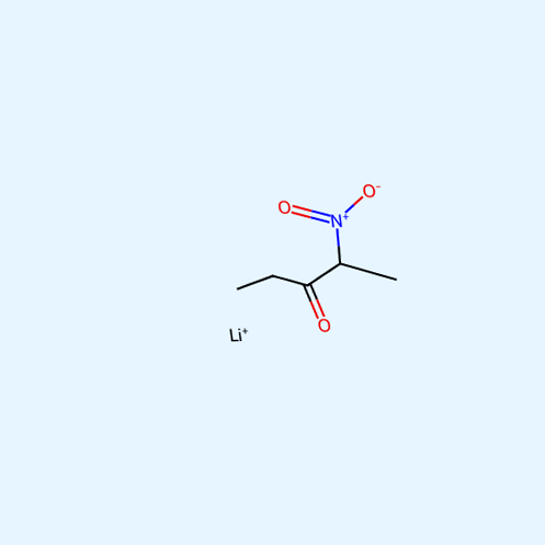 CCC(=O)C(C)[N+](=O)[O-].[Li+]